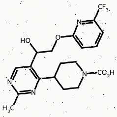 Cc1ncc(C(O)COc2cccc(C(F)(F)F)n2)c(C2CCN(C(=O)O)CC2)n1